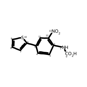 O=C(O)Nc1ccc(-c2cccs2)cc1[N+](=O)[O-]